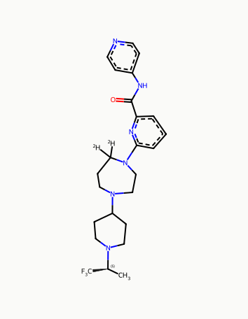 [2H]C1([2H])CCN(C2CCN([C@@H](C)C(F)(F)F)CC2)CCN1c1cccc(C(=O)Nc2ccncc2)n1